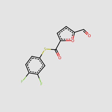 O=Cc1ccc(C(=O)Sc2ccc(F)c(F)c2)o1